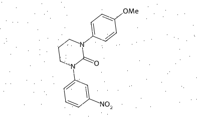 COc1ccc(N2CCCN(c3cccc([N+](=O)[O-])c3)C2=O)cc1